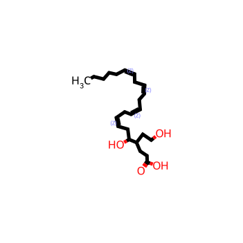 CCCCC/C=C\C/C=C\C/C=C\C/C=C\CC(O)C(CCO)CCC(=O)O